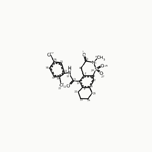 CN1C(=O)Cc2c(cc3c(c2C(=O)Nc2cc(Cl)ccc2Cl)CCCC3)S1(=O)=O